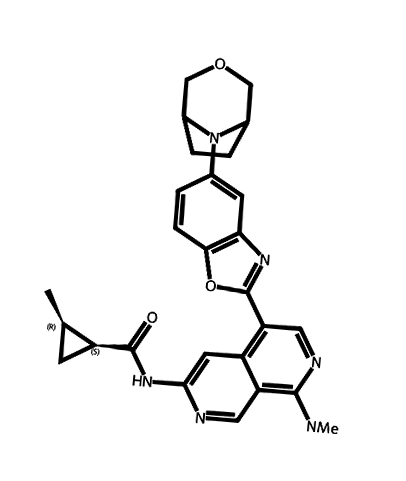 CNc1ncc(-c2nc3cc(N4C5CCC4COC5)ccc3o2)c2cc(NC(=O)[C@H]3C[C@H]3C)ncc12